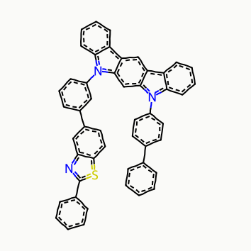 c1ccc(-c2ccc(-n3c4ccccc4c4cc5c6ccccc6n(-c6cccc(-c7ccc8sc(-c9ccccc9)nc8c7)c6)c5cc43)cc2)cc1